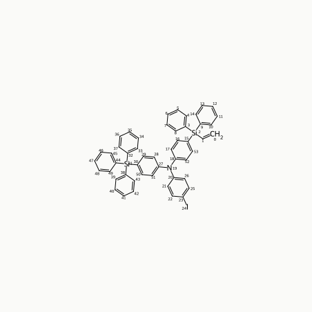 C=C[Si](c1ccccc1)(c1ccccc1)c1ccc(N(c2ccc(I)cc2)c2ccc([Si](c3ccccc3)(c3ccccc3)c3ccccc3)cc2)cc1